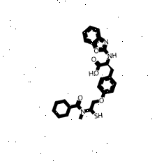 CN(C(=O)C1CCCCC1)C(S)COc1ccc(C[C@H](Nc2nc3ccccc3o2)C(=O)O)cc1